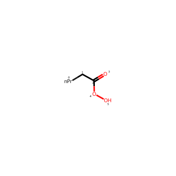 CCCCC(=O)OO